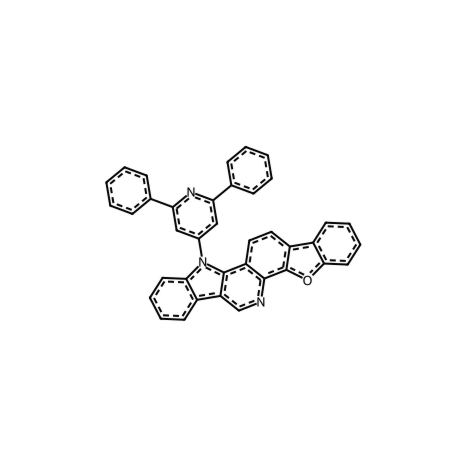 c1ccc(-c2cc(-n3c4ccccc4c4cnc5c(ccc6c7ccccc7oc65)c43)cc(-c3ccccc3)n2)cc1